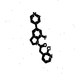 O=C(Cc1cccnc1Cl)N1CCc2cc(-c3c[c]ncc3)cc(F)c21